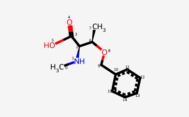 CN[C@@H](C(=O)O)[C@@H](C)OCc1ccccc1